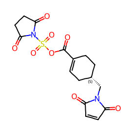 O=C(OS(=O)(=O)N1C(=O)CCC1=O)C1=CC[C@@H](CN2C(=O)C=CC2=O)CC1